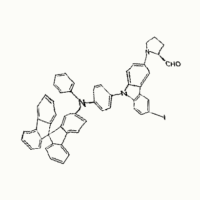 O=C[C@@H]1CCCN1c1ccc2c(c1)c1cc(I)ccc1n2-c1ccc(N(c2ccccc2)c2ccc3c(c2)C2(c4ccccc4-c4ccccc42)c2ccccc2-3)cc1